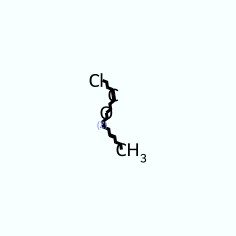 CCCC=CC/C=C\COCCC=C=CCCCl